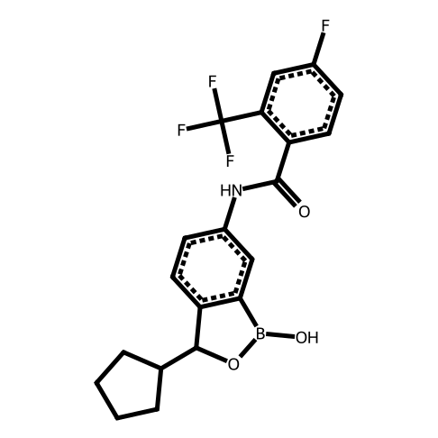 O=C(Nc1ccc2c(c1)B(O)OC2C1CCCC1)c1ccc(F)cc1C(F)(F)F